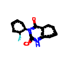 O=c1[nH]c2ccccc2c(=O)n1-c1ccccc1F